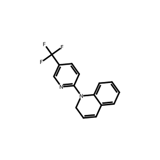 FC(F)(F)c1ccc(N2CC=Cc3ccccc32)nc1